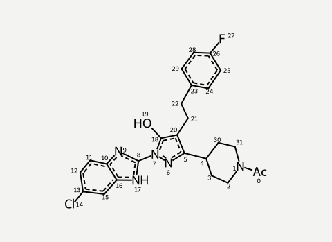 CC(=O)N1CCC(c2nn(-c3nc4ccc(Cl)cc4[nH]3)c(O)c2CCc2ccc(F)cc2)CC1